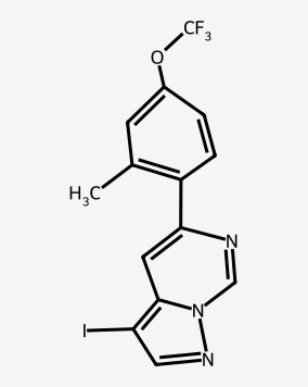 Cc1cc(OC(F)(F)F)ccc1-c1cc2c(I)cnn2cn1